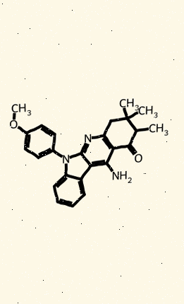 COc1ccc(-n2c3ccccc3c3c(N)c4c(nc32)CC(C)(C)C(C)C4=O)cc1